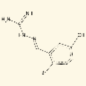 N=C(N)NN=Cc1cc(O)ccc1Br